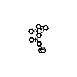 c1ccc(N(c2ccc(C34CC5CC(CC(C5)C3)C4)cc2)c2cccc(N(c3ccccc3)c3cccc4c3oc3ccccc34)c2)cc1